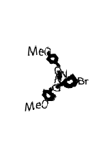 COc1ccc(COc2nc(OCc3ccc(OC)cc3)c3ccc(Br)cc3n2)cc1